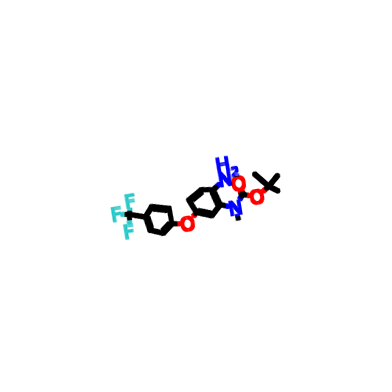 CN(C(=O)OC(C)(C)C)c1cc(Oc2ccc(C(F)(F)F)cc2)ccc1N